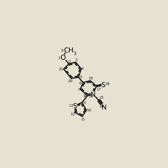 COc1ccc(-c2cc(-c3cccs3)n(C#N)c(=S)c2)cc1